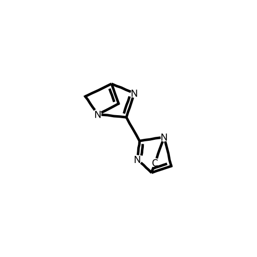 c1c2nc(-c3nc4cn3C4)n1C2